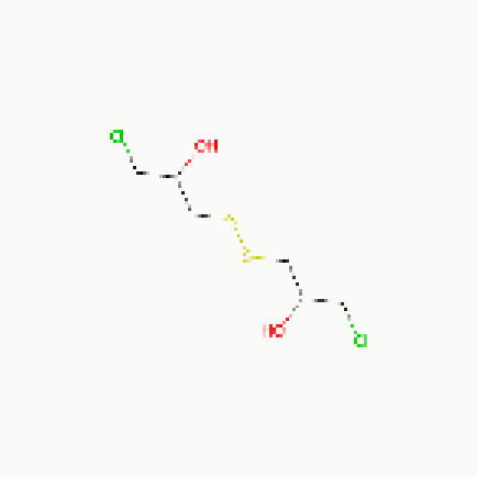 OC(CCl)CSSCC(O)CCl